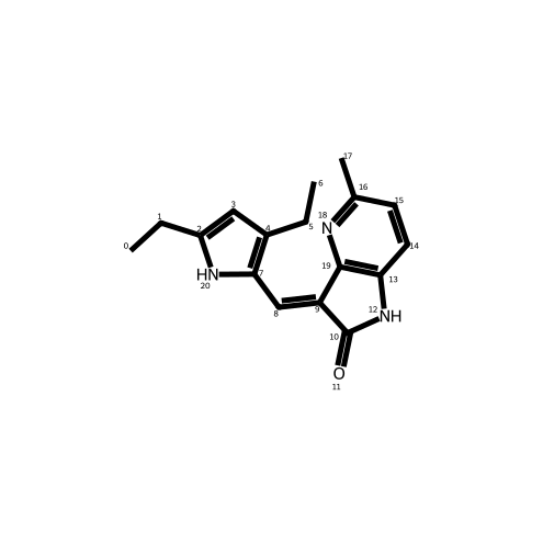 CCc1cc(CC)c(C=C2C(=O)Nc3ccc(C)nc32)[nH]1